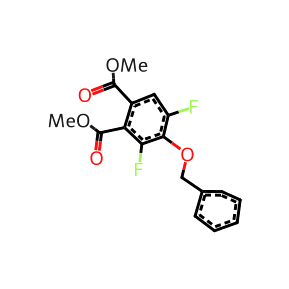 COC(=O)c1cc(F)c(OCc2ccccc2)c(F)c1C(=O)OC